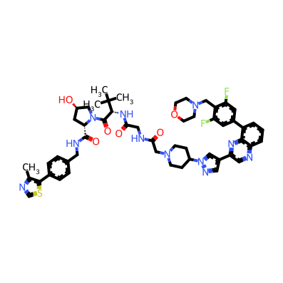 Cc1ncsc1-c1ccc(CNC(=O)[C@@H]2C[C@@H](O)CN2C(=O)[C@@H](NC(=O)CNC(=O)CN2CCC(n3cc(-c4cnc5cccc(-c6cc(F)c(CN7CCOCC7)c(F)c6)c5n4)cn3)CC2)C(C)(C)C)cc1